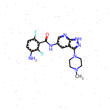 CN1CCN(c2n[nH]c3ncc(NC(=O)c4c(F)ccc(N)c4F)cc23)CC1